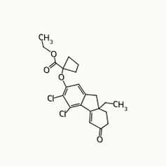 CCOC(=O)C1(Oc2cc3c(c(Cl)c2Cl)C2=CC(=O)CCC2(CC)C3)CCC1